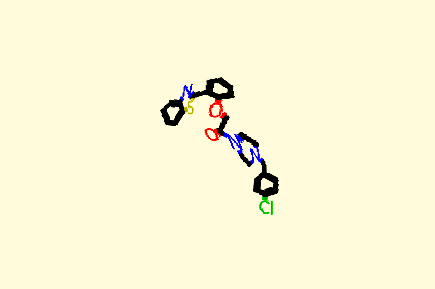 O=C(COc1ccccc1-c1nc2ccccc2s1)N1CCN(Cc2ccc(Cl)cc2)CC1